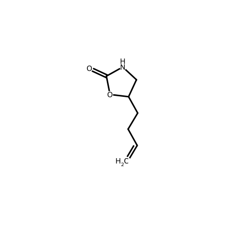 C=CCCC1CNC(=O)O1